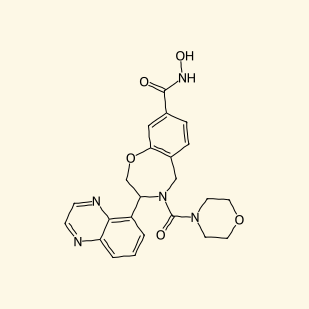 O=C(NO)c1ccc2c(c1)OCC(c1cccc3nccnc13)N(C(=O)N1CCOCC1)C2